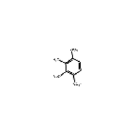 COc1ccc(C(=O)O)c(OC)c1C